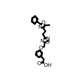 Cc1oc(-c2ccccc2)nc1CCc1noc(COc2cccc(CC(=O)O)c2)n1